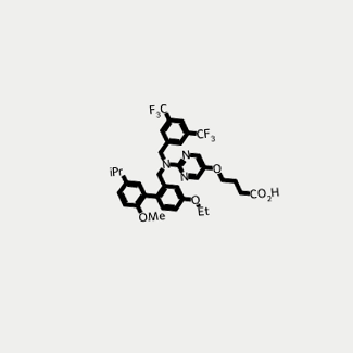 CCOc1ccc(-c2cc(C(C)C)ccc2OC)c(CN(Cc2cc(C(F)(F)F)cc(C(F)(F)F)c2)c2ncc(OCCCC(=O)O)cn2)c1